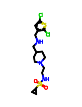 O=S(=O)(NCCN1CCC(CNCc2cc(Cl)sc2Cl)CC1)C1CC1